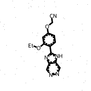 CCOc1cc(OCC#N)ccc1-c1nc2cnncc2[nH]1